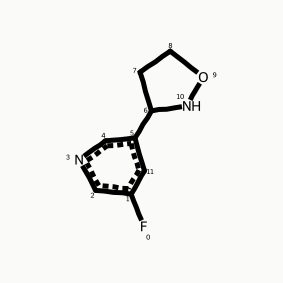 Fc1cncc(C2CCON2)c1